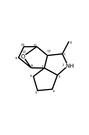 CC1NC2CCCC23C2CCC(O2)C13